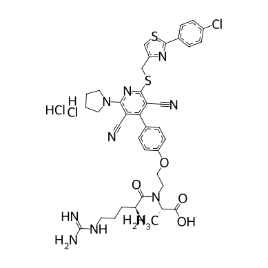 C[C@@H](C(=O)O)N(CCOc1ccc(-c2c(C#N)c(SCc3csc(-c4ccc(Cl)cc4)n3)nc(N3CCCC3)c2C#N)cc1)C(=O)[C@@H](N)CCCNC(=N)N.Cl.Cl